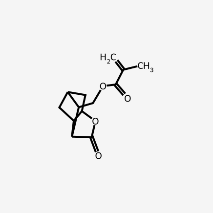 C=C(C)C(=O)OCC1C2CC3OC(=O)C1C3C2